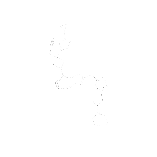 CN1CCN(C(=O)Cn2cc(Nc3nc4c(N5CC(CC#N)(n6cc(C7CC7)cn6)C5)cccn4n3)cn2)CC1